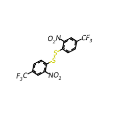 O=[N+]([O-])c1cc(C(F)(F)F)ccc1SSc1ccc(C(F)(F)F)cc1[N+](=O)[O-]